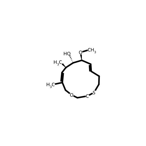 CO[C@H]1/C=C/CCSCCOC/C(C)=C\[C@@H](C)[C@@H]1O